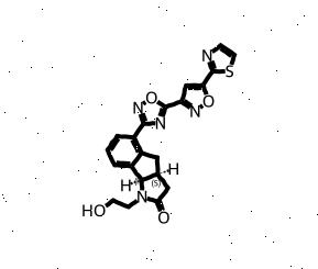 O=C1C[C@@H]2Cc3c(-c4noc(-c5cc(-c6nccs6)on5)n4)cccc3[C@@H]2N1CCO